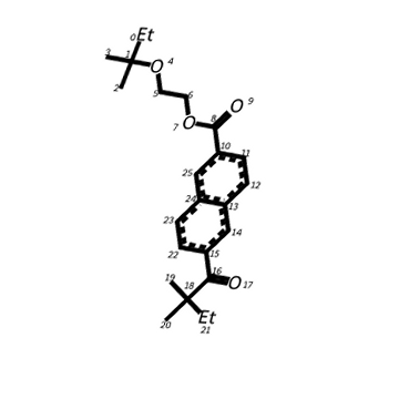 CCC(C)(C)OCCOC(=O)c1ccc2cc(C(=O)C(C)(C)CC)ccc2c1